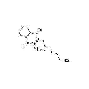 CCCCCCOC(=O)c1ccccc1C(=O)OCCCCCCC(C)C